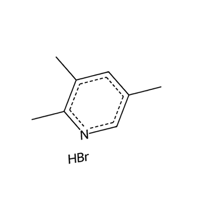 Br.Cc1cnc(C)c(C)c1